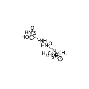 CC(C)N(CCC(=O)NCCNCCc1ccc(O)c2[nH]c(=O)sc12)CC(C)(C)c1ccccc1